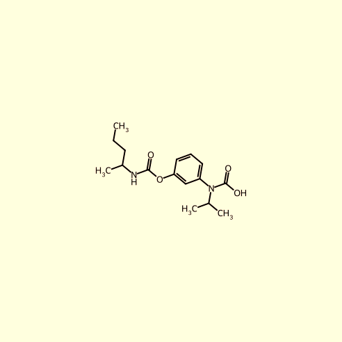 CCCC(C)NC(=O)Oc1cccc(N(C(=O)O)C(C)C)c1